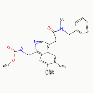 CCN(Cc1ccccc1)C(=O)Cc1cnc(CNC(=O)OC(C)(C)C)c2cc(OC)c(OC)cc12